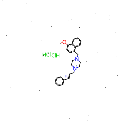 COc1ccc(CN2CCN(C/C=C/c3ccccc3)CC2)c2ccccc12.Cl.Cl